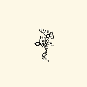 COCCCc1cc(Cl)c(Cl)cc1NC(=O)Nc1c(C)c(OCCN2CCN(C)CC2)nn1-c1ccccc1